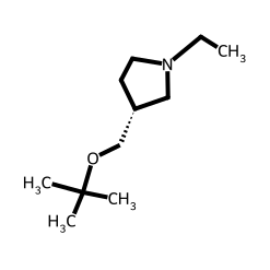 CCN1CC[C@@H](COC(C)(C)C)C1